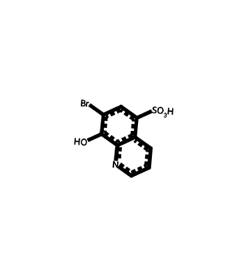 O=S(=O)(O)c1cc(Br)c(O)c2ncccc12